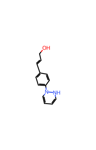 OC/C=C/c1ccc(N2C=CC=CN2)cc1